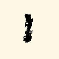 O=C(CCc1cc(Cl)c(CN2CCC[C@H]2C(=O)N2CCN(C3CC3)c3ccccc32)cc1Cl)NCCOCCOCCNC(=O)CCc1cc(Cl)c(CN2CCC[C@H]2C(=O)N2CCN(C3CC3)c3ccccc32)cc1Cl